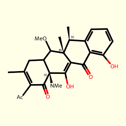 CN[C@@]12C(=O)C(C(C)=O)=C(C)CC1C(OC)[C@@]1(C)C(=C2O)C(=O)c2c(O)cccc2[C@@H]1C